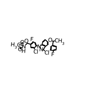 CC(Oc1ccc2c(c1)c(Cl)nn2-c1cc(F)c(C(=O)NS(C)(=O)=O)cc1Cl)c1ccc(F)cc1